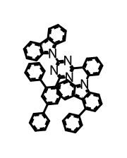 c1ccc(-c2ccc(-c3nc(-c4ccccc4-n4c5ccccc5c5c(-c6ccccc6)cccc54)nc(-n4c5ccccc5c5ccccc54)n3)c(-c3ccccc3)c2)cc1